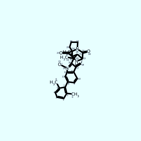 Cc1cccc(C)c1-c1ccc2c(c1)[N+]([O-])=C1C2=C[C@@]23NC4(C(=O)C45CCCN5C2=O)C3C1(C)C